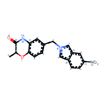 CC1Oc2ccc(Cn3cc4ccc([N+](=O)[O-])cc4c3)cc2NC1=O